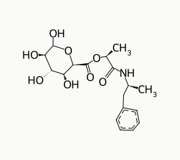 C[C@H](OC(=O)[C@@H]1OC(O)[C@H](O)[C@@H](O)[C@@H]1O)C(=O)N[C@@H](C)Cc1ccccc1